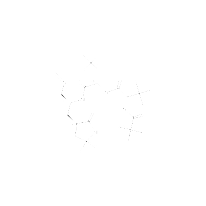 C=NC[C@H](C[C@@H]1CC(C)(C)NC1=O)NC(=O)[C@H](CC(C)(C)C)NC(=O)[C@@H](NC(=O)C(F)(F)F)C(C)(C)C